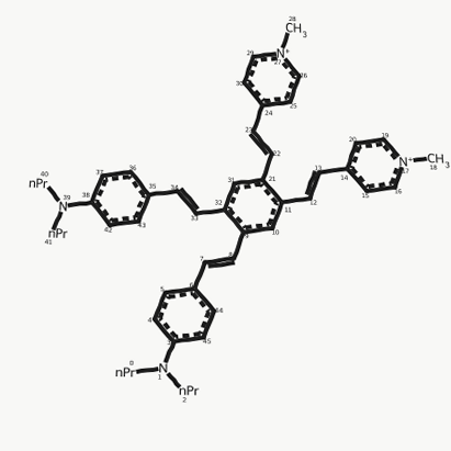 CCCN(CCC)c1ccc(/C=C/c2cc(/C=C/c3cc[n+](C)cc3)c(/C=C/c3cc[n+](C)cc3)cc2/C=C/c2ccc(N(CCC)CCC)cc2)cc1